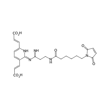 N=C(CCNC(=O)CCCCCN1C(=O)C=CC1=O)/N=c1\[nH]c(/C=C/C(=O)O)ccc1/C=C/C(=O)O